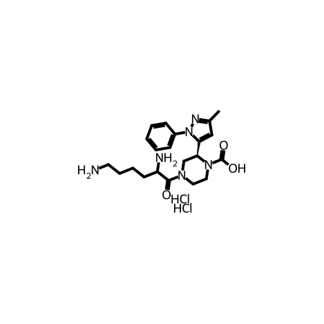 Cc1cc([C@@H]2CN(C(=O)C(N)CCCCN)CCN2C(=O)O)n(-c2ccccc2)n1.Cl.Cl